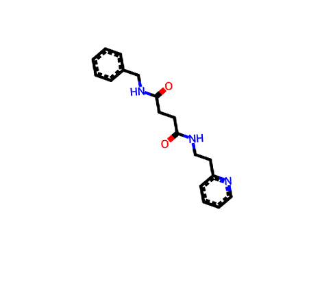 O=C(CCC(=O)NCc1ccccc1)NCCc1ccccn1